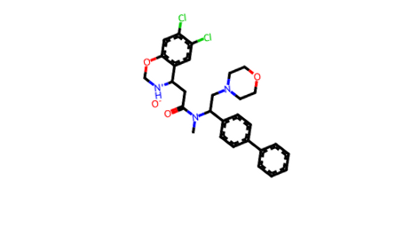 CN(C(=O)CC1c2cc(Cl)c(Cl)cc2OC[NH+]1[O-])C(CN1CCOCC1)c1ccc(-c2ccccc2)cc1